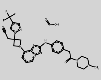 CN1CCN(C(=O)Cc2ccc(Nc3nc4c(N5CC(CC#N)(n6cc(C(F)(F)F)cn6)C5)cccn4n3)cc2)CC1.O=CO